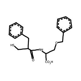 O=C(NC(COCc1ccccc1)C(=O)O)C(CS)Cc1ccccc1